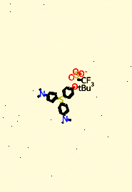 CN(C)c1ccc([S+](c2ccc(OC(C)(C)C)cc2)c2ccc(N(C)C)cc2)cc1.O=S(=O)([O-])CC(F)(F)F